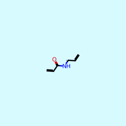 C=C[CH]NC(=O)C=C